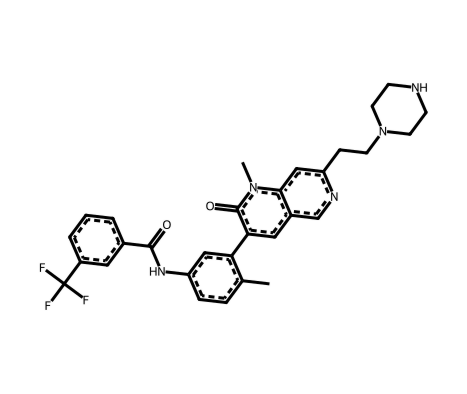 Cc1ccc(NC(=O)c2cccc(C(F)(F)F)c2)cc1-c1cc2cnc(CCN3CCNCC3)cc2n(C)c1=O